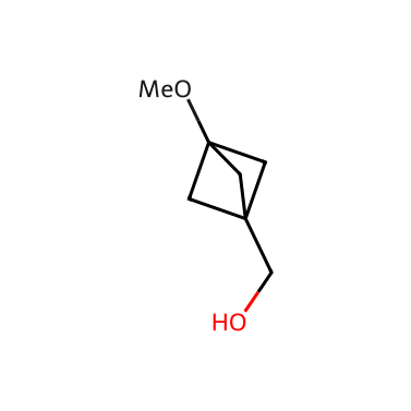 COC12CC(CO)(C1)C2